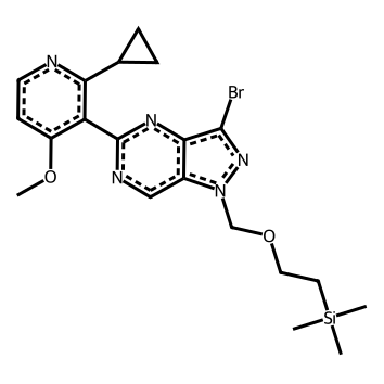 COc1ccnc(C2CC2)c1-c1ncc2c(n1)c(Br)nn2COCC[Si](C)(C)C